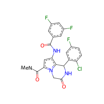 CNC(=O)c1cc(NC(=O)c2cc(F)cc(F)c2)c2n1CC(=O)NC2c1cc(F)ccc1Cl